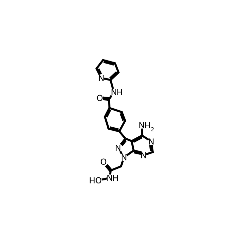 Nc1ncnc2c1c(-c1ccc(C(=O)Nc3ccccn3)cc1)nn2CC(=O)NO